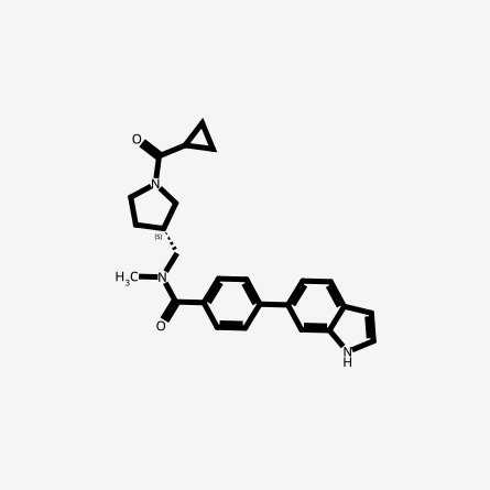 CN(C[C@@H]1CCN(C(=O)C2CC2)C1)C(=O)c1ccc(-c2ccc3cc[nH]c3c2)cc1